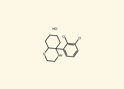 Cl.Clc1cccc(C23CCCCC2OCCN3)c1Cl